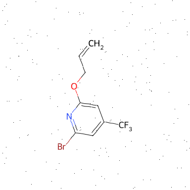 C=CCOc1cc(C(F)(F)F)cc(Br)n1